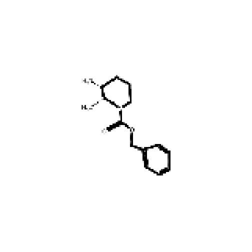 C[C@@H]1[C@H](N)CCCN1C(=O)OCc1ccccc1